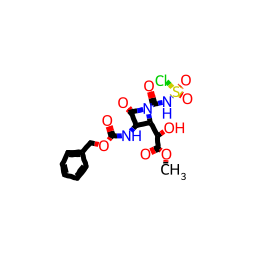 COC(=O)C(O)C1C(NC(=O)OCc2ccccc2)C(=O)N1C(=O)NS(=O)(=O)Cl